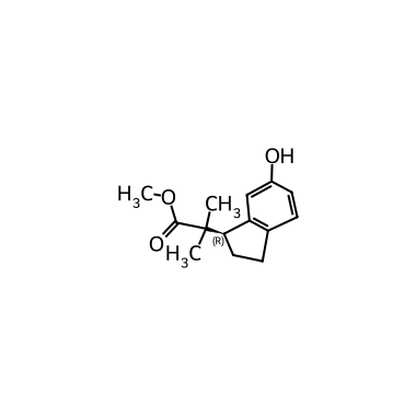 COC(=O)C(C)(C)[C@@H]1CCc2ccc(O)cc21